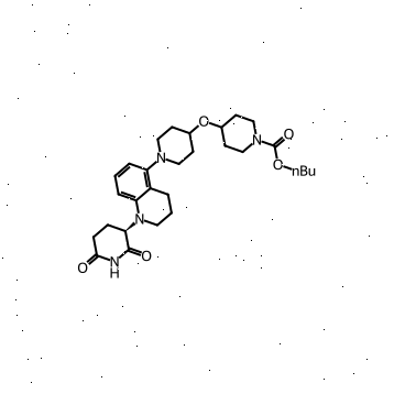 CCCCOC(=O)N1CCC(OC2CCN(c3cccc4c3CCCN4[C@@H]3CCC(=O)NC3=O)CC2)CC1